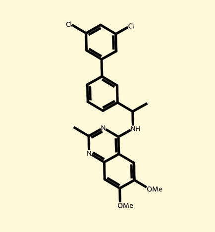 COc1cc2nc(C)nc(NC(C)c3cccc(-c4cc(Cl)cc(Cl)c4)c3)c2cc1OC